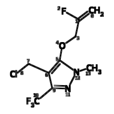 C=C(F)COc1c(CCl)c(C(F)(F)F)nn1C